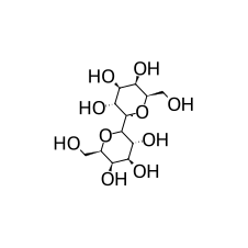 OC[C@H]1O[C](C2O[C@H](CO)[C@H](O)[C@H](O)[C@H]2O)[C@H](O)[C@@H](O)[C@H]1O